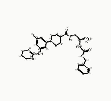 O=C(N[C@@H](CNC(=O)C1CCN(c2cc(F)cc(NC3=NCCCN3)c2)CC1)C(=O)O)OCc1ccccc1